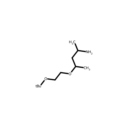 CC(N)CC(C)OCCOC(C)(C)C